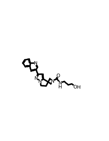 O=C(NCCCO)N1CC2(CCn3nc(-c4cnc5ccccc5c4)cc32)C1